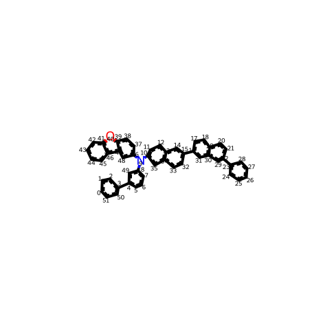 c1ccc(-c2cccc(N(c3ccc4cc(-c5ccc6ccc(-c7ccccc7)cc6c5)ccc4c3)c3ccc4oc5ccccc5c4c3)c2)cc1